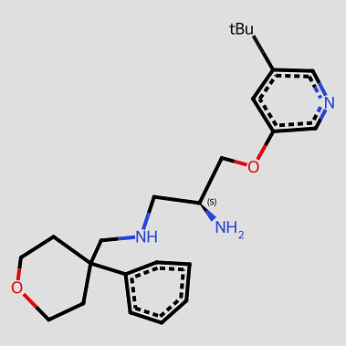 CC(C)(C)c1cncc(OC[C@@H](N)CNCC2(c3ccccc3)CCOCC2)c1